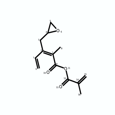 C=CC(CC1CO1)=C(C)C(=O)OC(=O)C(=C)C